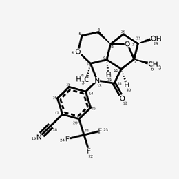 C[C@]12O[C@@]3(CCO[C@@]4(C)[C@@H]3[C@@H]1C(=O)N4c1ccc(C#N)c(C(F)(F)F)c1)C[C@H]2O